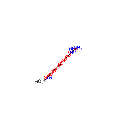 N=C(CCCCNC(=O)CCOCCOCCOCCOCCOCCOCCOCCOCCOCCOCCOCCOCCNC(=O)CCC(=O)O)C(N)=O